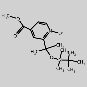 COC(=O)c1cc[n+]([O-])c(C(C)(C)O[Si](C)(C)C(C)(C)C)c1